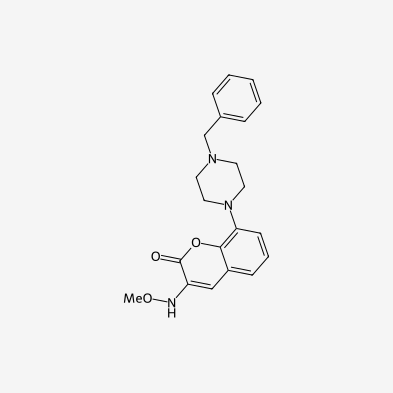 CONc1cc2cccc(N3CCN(Cc4ccccc4)CC3)c2oc1=O